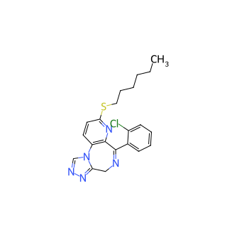 CCCCCCSc1ccc2c(n1)C(c1ccccc1Cl)=NCc1nncn1-2